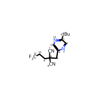 CC(C)(C)c1cnc(CC(C#N)(C#N)CCC(F)(F)F)cn1